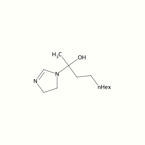 CCCCCCCCC(C)(O)N1C=NCC1